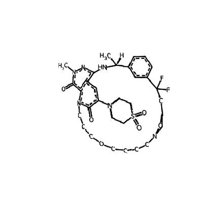 C[C@H]1Nc2nn(C)c(=O)c3c2cc(N2CCS(=O)(=O)CC2)c(=O)n3CCCOCCCCN2CC(C2)CC(F)(F)c2cccc1c2